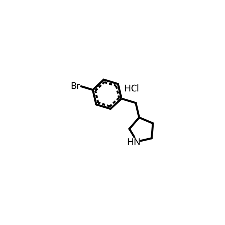 Brc1ccc(CC2CCNC2)cc1.Cl